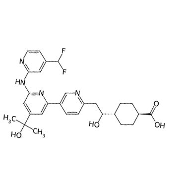 CC(C)(O)c1cc(Nc2cc(C(F)F)ccn2)nc(-c2ccc(CC(O)[C@H]3CC[C@H](C(=O)O)CC3)nc2)c1